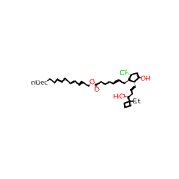 CCCCCCCCCCCCCCCCCC=CCOC(=O)CCCC=CC[C@@H]1[C@@H](C=CC[C@H](O)C2(CC)CCC2)[C@H](O)C[C@H]1Cl